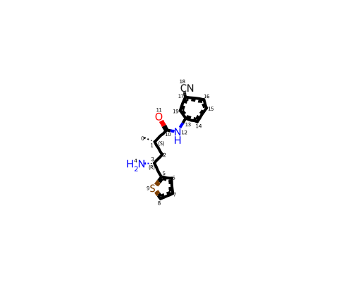 C[C@@H](C[C@@H](N)c1cccs1)C(=O)Nc1cccc(C#N)c1